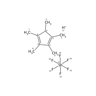 CC1=C(C)C(C)C(C)=C1C.[F][Sb-]([F])([F])([F])([F])[F].[H+]